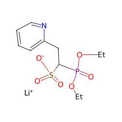 CCOP(=O)(OCC)C(Cc1ccccn1)S(=O)(=O)[O-].[Li+]